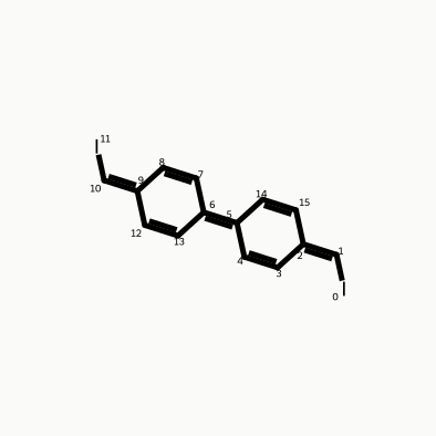 IC=c1ccc(=c2ccc(=CI)cc2)cc1